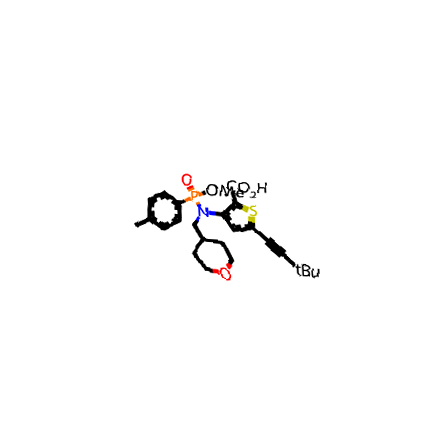 COP(=O)(c1ccc(C)cc1)N(CC1CCOCC1)c1cc(C#CC(C)(C)C)sc1C(=O)O